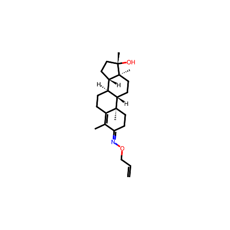 C=CCO/N=C1\CC[C@@]2(C)C(=C1C)CC[C@@H]1[C@@H]2CC[C@@]2(C)[C@H]1CC[C@]2(C)O